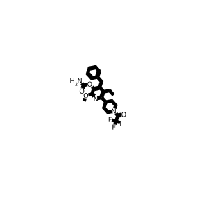 CCc1c(C2CCN(C(=O)C(F)(F)F)CC2)nc(OC)c(OC(N)=O)c1Cc1ccccc1